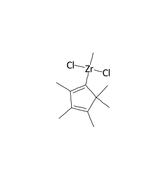 CC1=C(C)C(C)(C)[C]([Zr]([CH3])([Cl])[Cl])=C1C